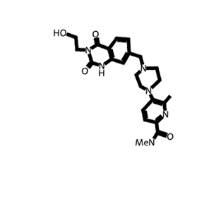 CNC(=O)c1ccc(N2CCN(Cc3ccc4c(=O)n(CCO)c(=O)[nH]c4c3)CC2)c(C)n1